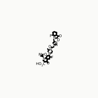 COc1c(N2CCN(C(=O)Cn3cc(CN4C(=O)C(=O)c5cccc(F)c54)nn3)C(C)C2)c(F)cc2c(=O)c(C(=O)O)cn(C3CC3)c12